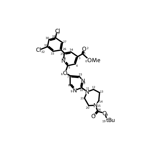 COC(=O)c1cc(Oc2cnc(N3CCCN(C(=O)OC(C)(C)C)CC3)nc2)nc(-c2cc(Cl)cc(Cl)c2)c1